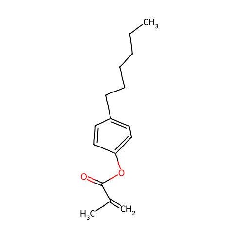 C=C(C)C(=O)Oc1ccc(CCCCCC)cc1